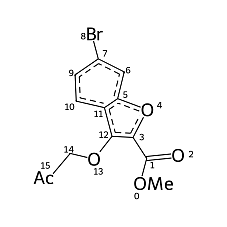 COC(=O)c1oc2cc(Br)ccc2c1OCC(C)=O